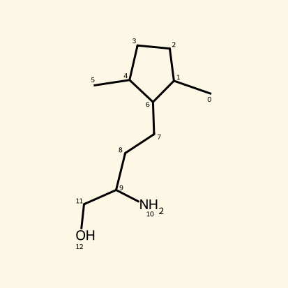 CC1CCC(C)C1CCC(N)CO